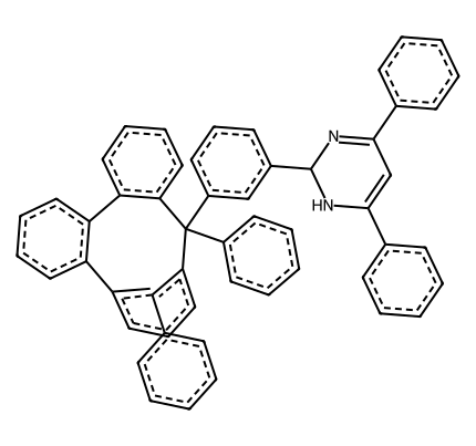 C1=C(c2ccccc2)NC(c2cccc(C3(c4ccccc4)c4ccccc4-c4ccccc4-c4cccc3c4-c3ccccc3)c2)N=C1c1ccccc1